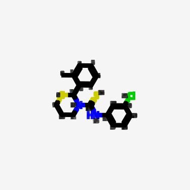 Cc1ccccc1C1SCCCN1C(=S)Nc1cccc(Cl)c1